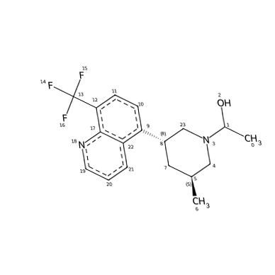 CC(O)N1C[C@@H](C)C[C@H](c2ccc(C(F)(F)F)c3ncccc23)C1